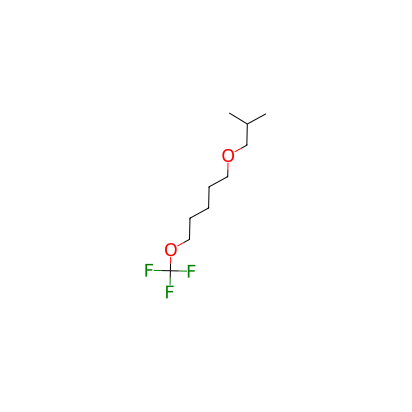 CC(C)COCCCCCOC(F)(F)F